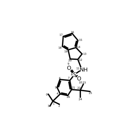 CC(C)(C)c1ccc(S(=O)(=O)NC2Cc3ccccc3C2)c(C(C)(C)C)c1